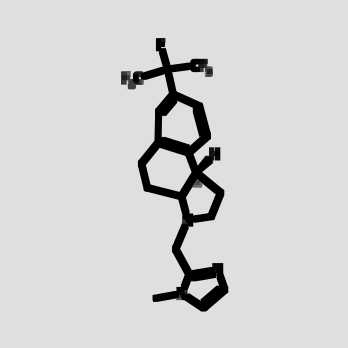 Cn1ccnc1CN1CC[C@H]2c3ccc(C(F)(C(F)(F)F)C(F)(F)F)cc3CCC21